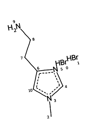 Br.Br.Cn1cnc(CCN)c1